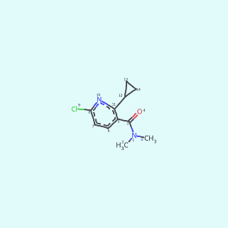 CN(C)C(=O)c1ccc(Cl)nc1C1CC1